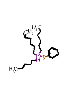 CCCCCC[PH](CCCCCC)(CCCCCC)Sc1ccccc1